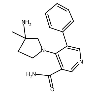 CC1(N)CCN(c2c(C(N)=O)cncc2-c2ccccc2)C1